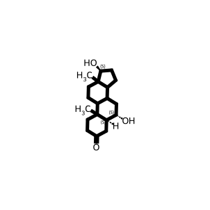 CC12CCC(=O)C[C@@H]1[C@@H](O)CC1C2CCC2(C)C1CC[C@@H]2O